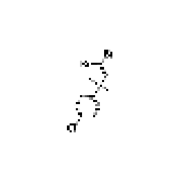 CC(C)(C=C(Br)Br)c1ccc(Cl)cc1